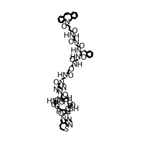 O=C(CCC(=O)N1Cc2ccccc2C#Cc2ccccc21)NCC(=O)NCC(=O)N[C@@H](Cc1ccccc1)C(=O)NCC(=O)NCOCC(=O)NCCn1cnc2c(ncn2[C@@H]2O[C@@H]3COP(=O)(S)O[C@H]4[C@@H](F)[C@H](n5cc6c7c(ncnc75)SCCC6)O[C@@H]4COP(=O)(S)O[C@@H]2[C@@H]3O)c1=O